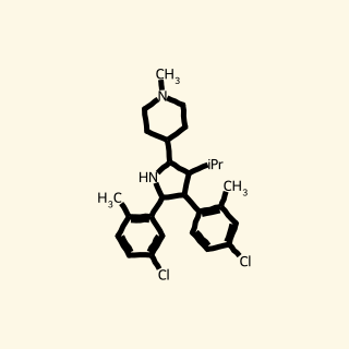 Cc1ccc(Cl)cc1C1NC(C2CCN(C)CC2)C(C(C)C)C1c1ccc(Cl)cc1C